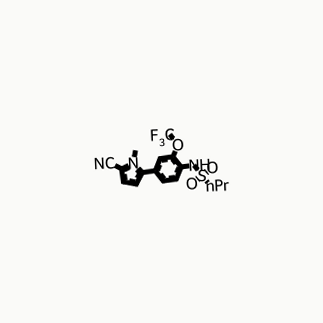 CCCS(=O)(=O)Nc1ccc(-c2ccc(C#N)n2C)cc1OC(F)(F)F